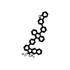 CC1(C)c2cc3ccccc3cc2-c2c(-c3ccc(-c4c5ccccc5c(-c5cccc(-c6ccc7oc8ccccc8c7c6)c5)c5ccccc45)cc3)cccc21